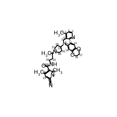 Cc1ccncc1CN(c1ccc2c(c1)OCCO2)C1CCN([C@H](C)CCNC(=O)c2c(C)cc(C#N)nc2C)CC1